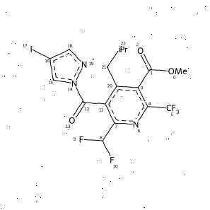 COC(=O)c1c(C(F)(F)F)nc(C(F)F)c(C(=O)n2cc(I)cn2)c1CC(C)C